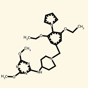 CCOc1cc(CN2CCC(Nc3nc(OC)nc(OC)n3)CC2)cc(OCC)c1-n1cccc1